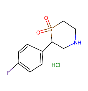 Cl.O=S1(=O)CCNCC1c1ccc(I)cc1